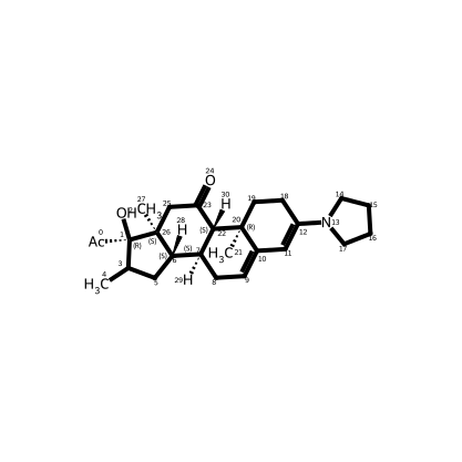 CC(=O)[C@@]1(O)C(C)C[C@H]2[C@@H]3CC=C4C=C(N5CCCC5)CC[C@]4(C)[C@H]3C(=O)C[C@@]21C